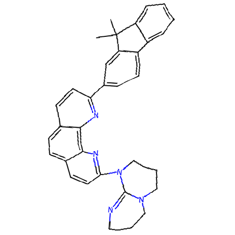 CC1(C)c2ccccc2-c2ccc(-c3ccc4ccc5ccc(N6CCCN7CCCN=C76)nc5c4n3)cc21